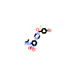 CC(C)Nc1cc(N2CCN(C(=O)c3ccc(Br)cc3F)CC2)ccc1[N+](=O)[O-]